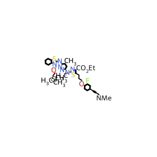 CCOC(=O)c1nc(N(C)c2cc(C)c(N=c3sc4ccccc4n3COCC[Si](C)(C)C)nn2)sc1CCCOc1ccc(C#CCNC)cc1F